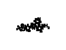 CC(C)(C)C(=O)ON1CCC(n2cc(-c3ccncc3)c(-c3cccc(N)c3)n2)CC1